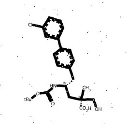 CC(C)(C)OC(=O)N[C@H](Cc1ccc(-c2cccc(Cl)c2)cc1)C[C@@](C)(CO)C(=O)O